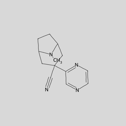 CN1C2CCC1CC(C#N)(c1cnccn1)C2